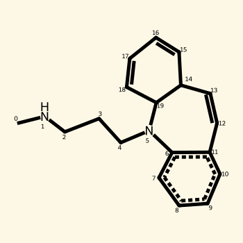 CNCCCN1c2ccccc2C=CC2C=CC=CC21